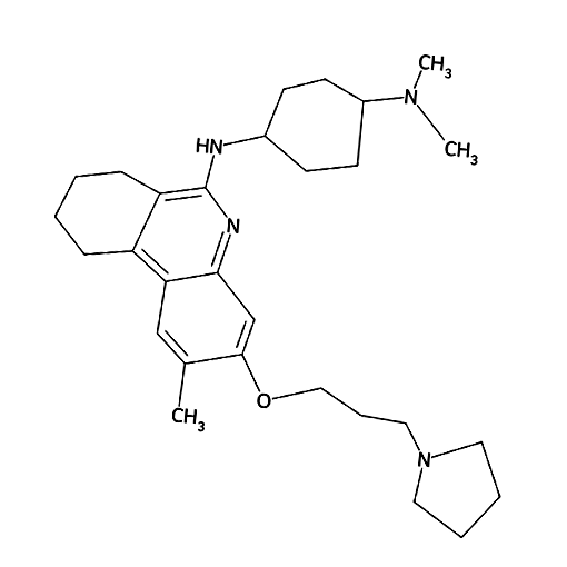 Cc1cc2c3c(c(NC4CCC(N(C)C)CC4)nc2cc1OCCCN1CCCC1)CCCC3